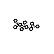 c1ccc(-n2c3ccccc3c3cc([Si](c4ccccc4)(c4ccccc4)c4ccc(-c5cccc6c5c5ccccc5n6-c5ccccc5)cc4)ccc32)cc1